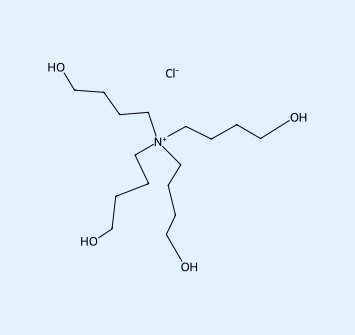 OCCCC[N+](CCCCO)(CCCCO)CCCCO.[Cl-]